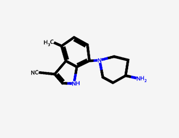 Cc1ccc(N2CCC(N)CC2)c2[nH]cc(C#N)c12